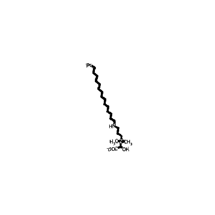 CC(C)CCCCCCCCCCCCCCCNCCC[N+](C)(C)C(O)C(=O)[O-]